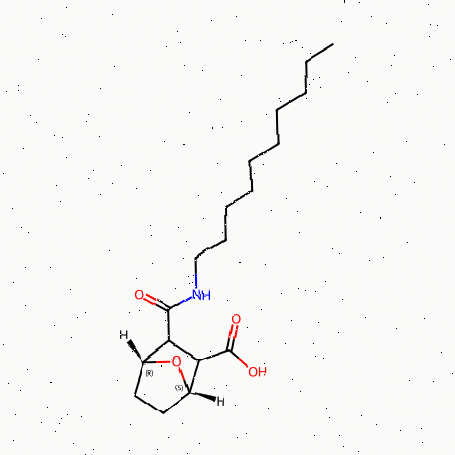 CCCCCCCCCCNC(=O)C1C(C(=O)O)[C@@H]2CC[C@H]1O2